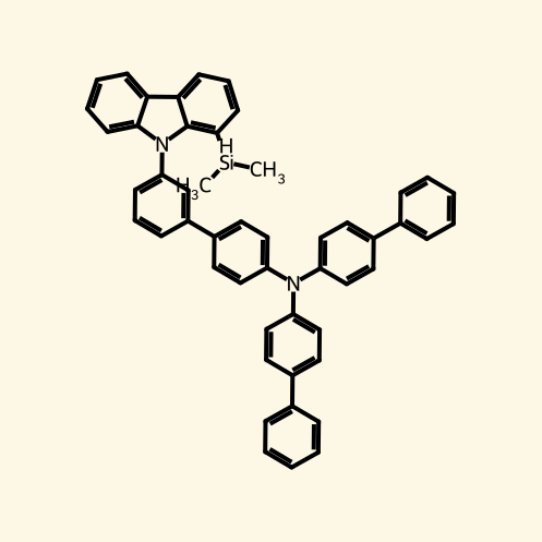 C[SiH](C)c1cccc2c3ccccc3n(-c3cccc(-c4ccc(N(c5ccc(-c6ccccc6)cc5)c5ccc(-c6ccccc6)cc5)cc4)c3)c12